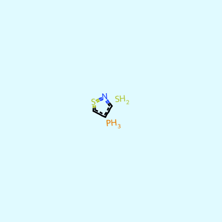 P.S.c1cnsc1